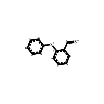 S=[C]c1ccccc1Sc1ccccc1